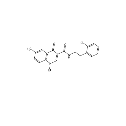 CCn1cc(C(=O)NCCc2ccccc2Cl)c(=O)c2cc(C(F)(F)F)ccc21